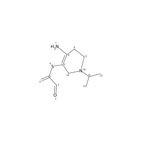 C=C(C=O)SC1=C(N)CCN(C(C)C)C1